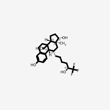 C=CC12CCc3cc(O)ccc3[C@H]1[C@@H](CCCC[C@H](O)C(F)(F)F)C[C@]1(C)[C@@H](O)CC[C@@H]21